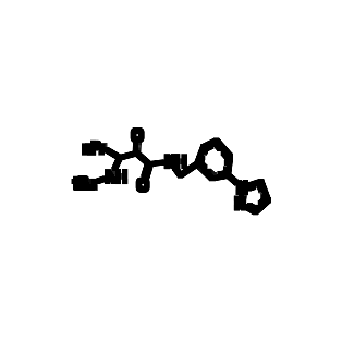 CCCC(NC(C)(C)C)C(=O)C(=O)NCc1cccc(-n2cccn2)c1